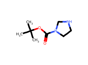 CC(C)(C)OC(=O)N1CCNC1